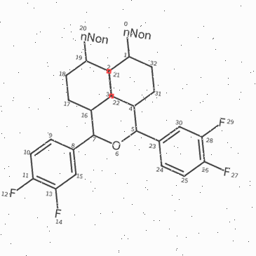 CCCCCCCCCC1CCC(C(OC(c2ccc(F)c(F)c2)C2CCC(CCCCCCCCC)CC2)c2ccc(F)c(F)c2)CC1